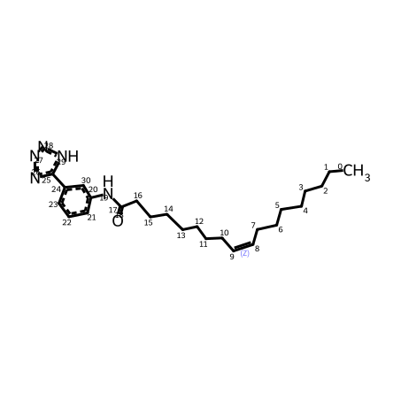 CCCCCCCC/C=C\CCCCCCCC(=O)Nc1cccc(-c2nnn[nH]2)c1